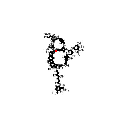 CN[C@@H](CC(C)C)C(=O)N[C@@H]1C(=O)N[C@H](CC(N)=O)C(=O)N[C@@H]2C(=O)N[C@H](C(N)=O)c3ccc(O)c(c3)-c3c(O)cc(O)cc3C(C(=O)NCCC(O)C(O)CCC(=O)Oc3ccc(N)c(O)c3C(N)=O)NC(=O)C[C@@H](O)c3ccc(c(Cl)c3)Oc3cc2cc(c3OC2O[C@H](CO)[C@H](O)[C@@H](O)[C@H]2O[C@H]2C[C@@](C)(N)[C@@H](O)[C@H](C)O2)Oc2ccc(cc2Cl)[C@@H]1O